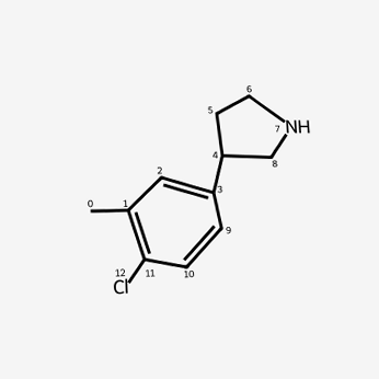 Cc1cc(C2CCNC2)ccc1Cl